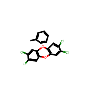 Cc1ccccc1.Clc1cc2c(cc1Cl)Oc1cc(Cl)c(Cl)cc1O2